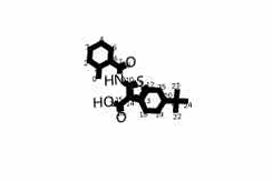 CC1CCCCC1C(=O)Nc1sc2c(c1C(=O)O)CCC(C(C)(C)C)C2